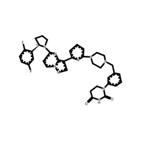 O=C1CCN(c2cccc(CN3CCN(c4cccc(-c5cnn6ccc(N7CCC[C@@H]7c7cc(F)ccc7F)nc56)n4)CC3)c2)C(=O)N1